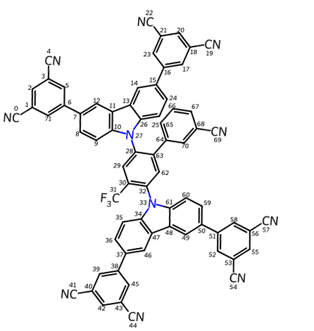 N#Cc1cc(C#N)cc(-c2ccc3c(c2)c2cc(-c4cc(C#N)cc(C#N)c4)ccc2n3-c2cc(C(F)(F)F)c(-n3c4ccc(-c5cc(C#N)cc(C#N)c5)cc4c4cc(-c5cc(C#N)cc(C#N)c5)ccc43)cc2-c2cccc(C#N)c2)c1